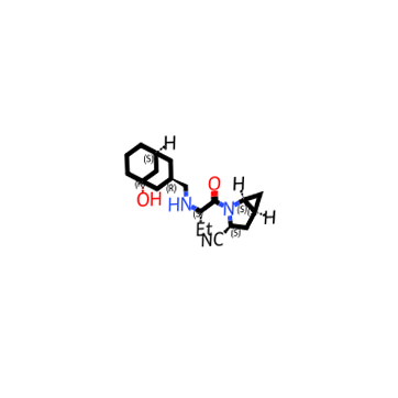 CC[C@H](NC[C@@H]1C[C@@H]2CCC[C@](O)(C1)C2)C(=O)N1[C@H](C#N)C[C@@H]2C[C@@H]21